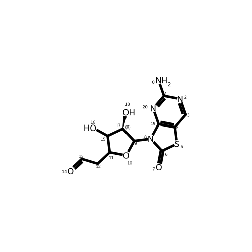 Nc1ncc2sc(=O)n(C3OC(CC=O)C(O)[C@H]3O)c2n1